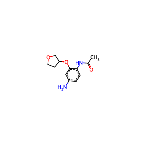 CC(=O)Nc1ccc(N)cc1O[C@H]1CCOC1